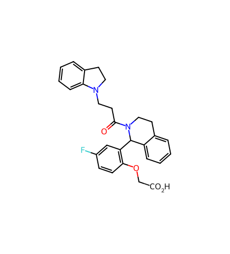 O=C(O)COc1ccc(F)cc1C1c2ccccc2CCN1C(=O)CCN1CCc2ccccc21